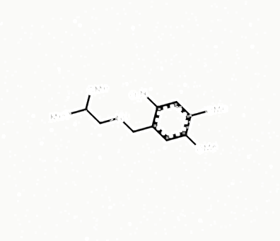 COc1cc(CNCC(OC)OC)c([N+](=O)[O-])cc1OC